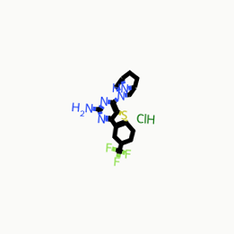 Cl.Nc1nc(N2CC3CCC(C2)N3)c2sc3c(c2n1)CC(C(F)(F)F)CC3